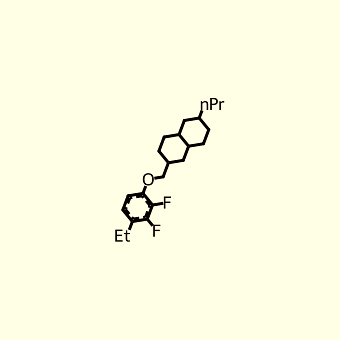 CCCC1CCC2CC(COc3ccc(CC)c(F)c3F)CCC2C1